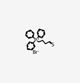 S=CCCC[P+](c1ccccc1)(c1ccccc1)c1ccccc1.[Br-]